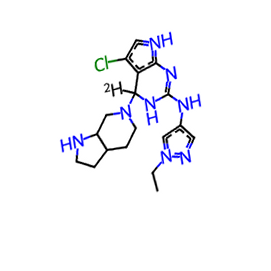 [2H]C1(N2CCC3CCNC3C2)NC(Nc2cnn(CC)c2)=Nc2[nH]cc(Cl)c21